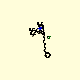 C=CC(CCCCCCCCCCc1ccccc1)[N+](C)(C)CC(C)(C)C.[Cl-]